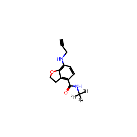 [2H]C([2H])([2H])NC(=O)c1ccc(NCC#C)c2c1CCO2